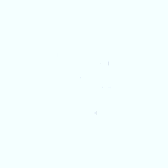 CCC(O)OC(O)CO